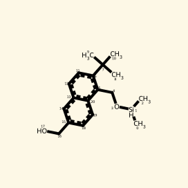 C[SiH](C)OCc1c(C(C)(C)C)ccc2cc(CO)ccc12